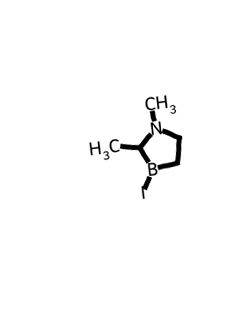 CC1B(I)CCN1C